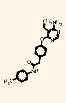 C=Cc1c(N)ncnc1Oc1ccc(CC(=O)Nc2ccc(C)cc2)cc1